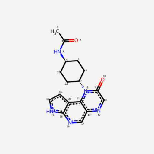 CC(=O)N[C@H]1CC[C@H](n2c(=O)cnc3cnc4[nH]ccc4c32)CC1